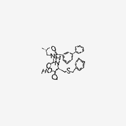 CC(C)CN(C(=O)N[C@@H](CSCc1ccccc1)C(=O)O)C(=O)c1cccc(-c2ccccc2)c1